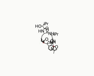 Cc1coc(-c2nc3oc2C24c5ccccc5NC2Oc2ccc(cc24)C[C@H](NC(=O)[C@@H](O)C(C)C)C(=O)N[C@H]3C(C)C)n1